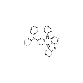 c1ccc(N(c2ccccc2)c2ccc3c(c2)N(c2ccccc2)c2cccc4c2B3c2ccccc2S4)cc1